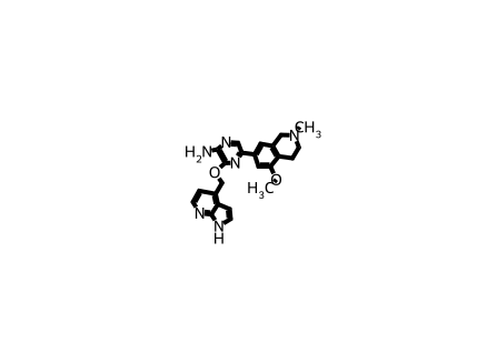 COc1cc(-c2cnc(N)c(OCc3ccnc4[nH]ccc34)n2)cc2c1CCN(C)C2